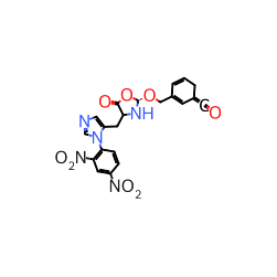 O=C=C1C=C(CO[C@@H]2NC(Cc3cncn3-c3ccc([N+](=O)[O-])cc3[N+](=O)[O-])C(=O)O2)C=CC1